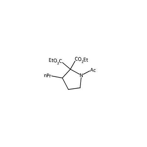 CCCC1CCN(C(C)=O)C1(C(=O)OCC)C(=O)OCC